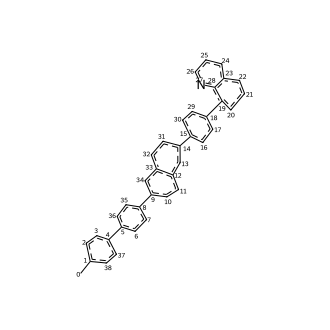 Cc1ccc(-c2ccc(-c3ccc4cc(-c5ccc(-c6cccc7cccnc67)cc5)ccc4c3)cc2)cc1